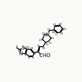 Cc1nc2ccc(C(C=O)=CCC3CCN(Cc4ccccc4)CC3)cc2s1